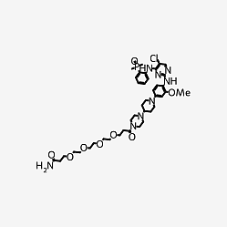 COc1cc(N2CCC(N3CCN(C(=O)CCOCCOCCOCCOCCC(N)=O)CC3)CC2)ccc1Nc1ncc(Cl)c(Nc2ccccc2P(C)(C)=O)n1